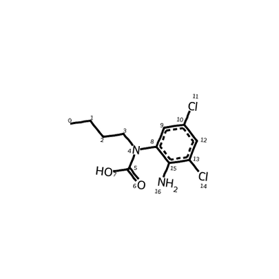 CCCCN(C(=O)O)c1cc(Cl)cc(Cl)c1N